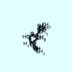 CCC(O)C(C)C1OC1CC(C)(O)/C=C/C=C(\C)C1OC(=O)CC(O)CCC(C)C(OC(=O)N2C[C@@H]3CC2CN3C)/C=C/C1C